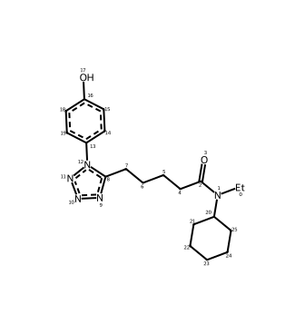 CCN(C(=O)CCCCc1nnnn1-c1ccc(O)cc1)C1CCCCC1